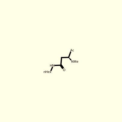 CCCCCCNC(=O)C[C@H](NC)C(C)=O